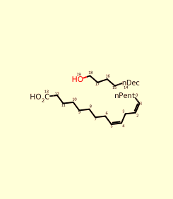 CCCCC/C=C\C/C=C\CCCCCCCC(=O)O.CCCCCCCCCCCCCCO